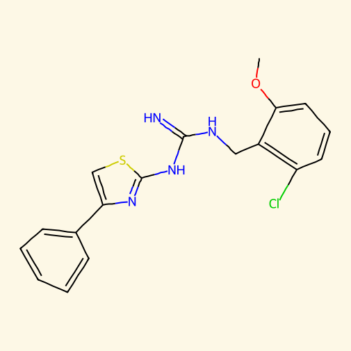 COc1cccc(Cl)c1CNC(=N)Nc1nc(-c2ccccc2)cs1